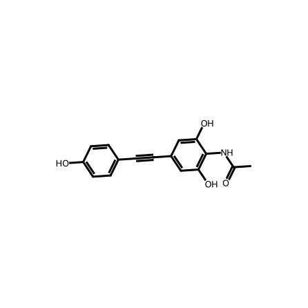 CC(=O)Nc1c(O)cc(C#Cc2ccc(O)cc2)cc1O